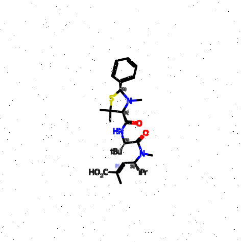 C/C(=C\[C@H](C(C)C)N(C)C(=O)[C@@H](NC(=O)[C@@H]1N(C)[C@H](c2ccccc2)SC1(C)C)C(C)(C)C)C(=O)O